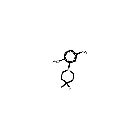 COc1ccc([N+](=O)[O-])cc1N1CCC(F)(F)CC1